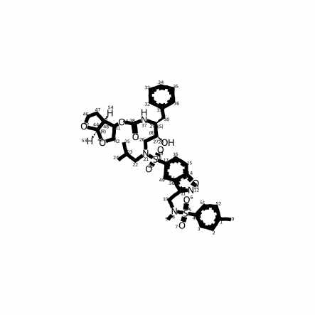 Cc1ccc(S(=O)(=O)N(C)Cc2noc3ccc(S(=O)(=O)N(CC(C)C)C[C@@H](O)[C@H](Cc4ccccc4)NC(=O)OC4CO[C@H]5OCC[C@@H]45)cc23)cc1